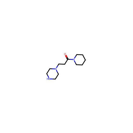 O=C(CCN1CCNCC1)N1CC[CH]CC1